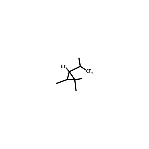 CCC1(C(C)C(F)(F)F)C(C)C1(C)C